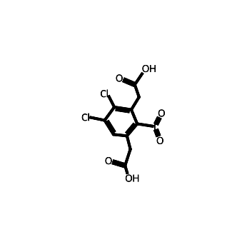 O=C(O)Cc1cc(Cl)c(Cl)c(CC(=O)O)c1I(=O)=O